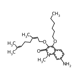 CCCCCCOc1c(OCC=C(C)CCC=C(C)C)c(=O)n(C)c2cc(N)ccc12